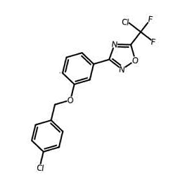 FC(F)(Cl)c1nc(-c2cc[c]c(OCc3ccc(Cl)cc3)c2)no1